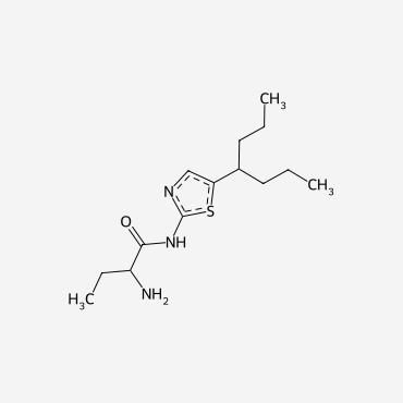 CCCC(CCC)c1cnc(NC(=O)C(N)CC)s1